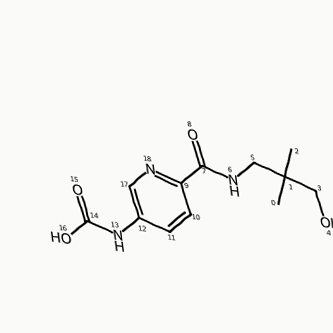 CC(C)(CO)CNC(=O)c1ccc(NC(=O)O)cn1